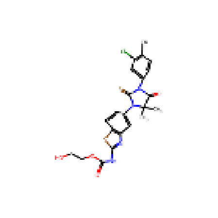 CC1(C)C(=O)N(c2ccc(C#N)c(Cl)c2)C(=S)N1c1ccc2sc(NC(=O)OCCO)nc2c1